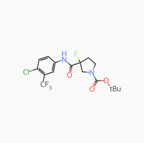 CC(C)(C)OC(=O)N1CCC(F)(C(=O)Nc2ccc(Cl)c(C(F)(F)F)c2)C1